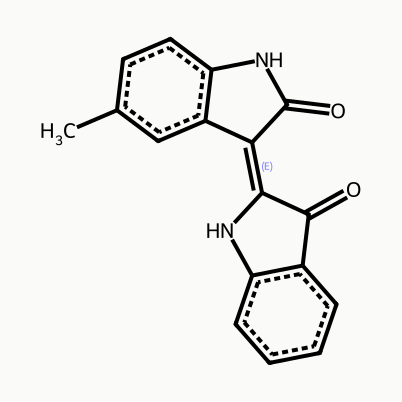 Cc1ccc2c(c1)/C(=C1\Nc3ccccc3C1=O)C(=O)N2